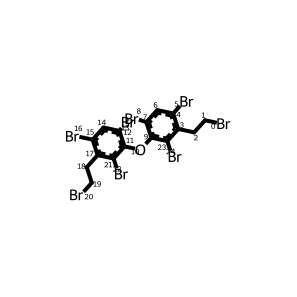 BrCCc1c(Br)cc(Br)c(Oc2c(Br)cc(Br)c(CCBr)c2Br)c1Br